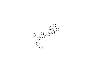 c1ccc(-c2nc(-c3ccc4oc5ccccc5c4c3)cc(-c3ccc(-c4ccc(-c5ccc6c(c5)C(c5ccccc5)(c5ccccc5)c5ccccc5-6)cc4)c4ccccc34)n2)cc1